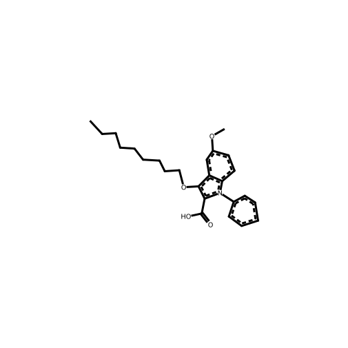 CCCCCCCCCOc1c(C(=O)O)n(-c2ccccc2)c2ccc(OC)cc12